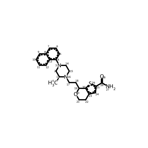 C[C@H]1CN(c2cccc3ccccc23)CCN1CCC1OCCc2cc(C(N)=O)sc21